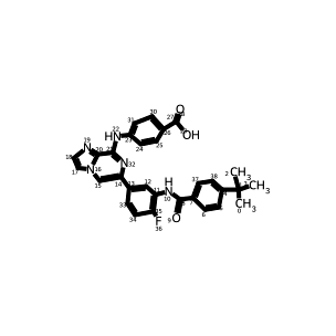 CC(C)(C)c1ccc(C(=O)Nc2cc(-c3cn4ccnc4c(Nc4ccc(C(=O)O)cc4)n3)ccc2F)cc1